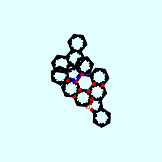 c1ccc(N(c2ccccc2-c2cccc3c2oc2ccccc23)c2cc3ccccc3c3ccccc23)c(-c2ccccc2-n2c3ccccc3c3ccccc32)c1